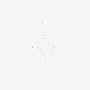 CCOC(=O)Oc1nc2c3ccccc3[nH]c(=O)n2n1